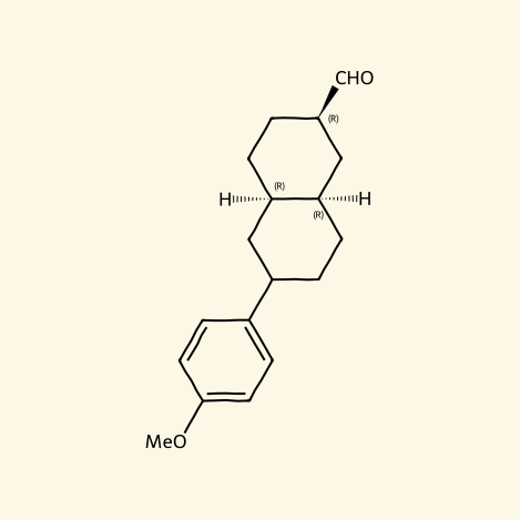 COc1ccc(C2CC[C@@H]3C[C@H](C=O)CC[C@@H]3C2)cc1